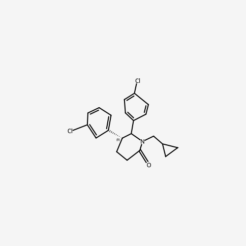 O=C1CC[C@H](c2cccc(Cl)c2)C(c2ccc(Cl)cc2)N1CC1CC1